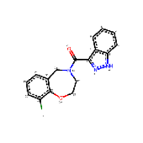 O=C(c1n[nH]c2ccccc12)N1CCOc2c(F)cccc2C1